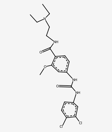 CCN(CC)CCNC(=O)c1ccc(NC(=O)Nc2ccc(Cl)c(Cl)c2)cc1OC